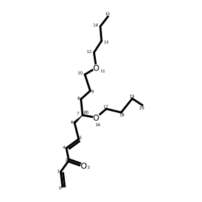 C=CC(=O)C=CC[C@@H](CCCOCCCC)OCCCC